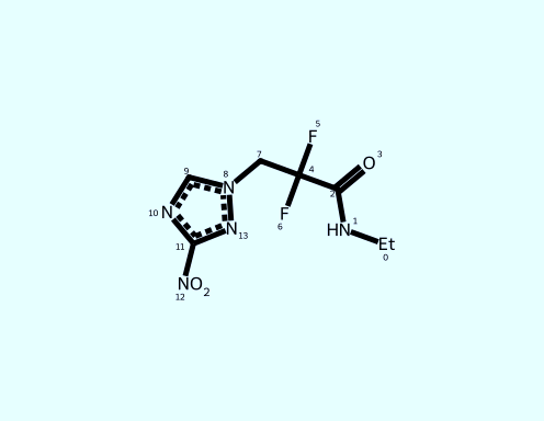 CCNC(=O)C(F)(F)Cn1cnc([N+](=O)[O-])n1